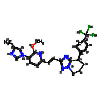 COc1nc(/C=C/c2nc3n(n2)CCC[C@@H]3c2ccc(C(F)(F)F)cc2)ccc1-n1cnc(C)c1